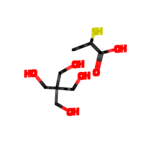 CC(S)C(=O)O.OCC(CO)(CO)CO